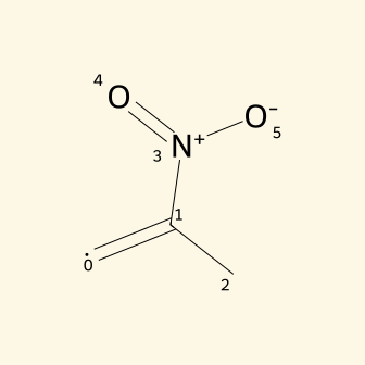 [CH]=C(C)[N+](=O)[O-]